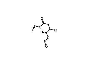 CCC(CC(=O)OP=O)C(=O)OP=O